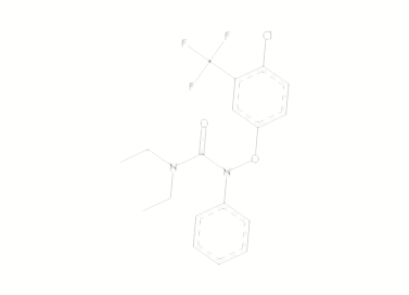 CCN(CC)C(=O)N(Oc1ccc(Cl)c(C(F)(F)F)c1)c1ccccc1